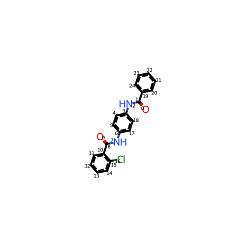 O=C(Nc1ccc(NC(=O)c2ccccc2Cl)cc1)c1ccccc1